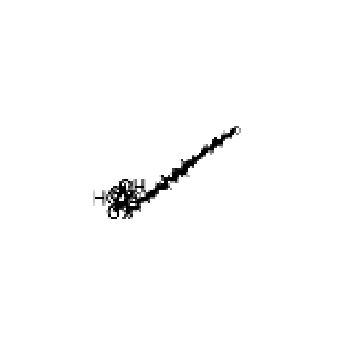 CCCCCCCCCCCCCCCCCCCCCCC(C)C(C(=O)O)C(=S)C(=O)O